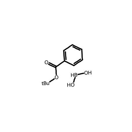 CC(C)(C)OC(=O)c1ccccc1.OBO